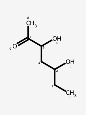 CCC(O)CC(O)C(C)=O